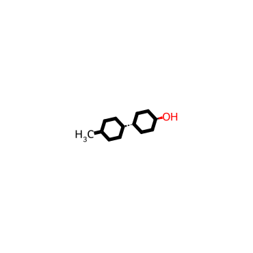 CC1CCC([C@H]2CC[C@H](O)CC2)CC1